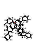 CC1(C)c2ccccc2-c2cc3c4ccccc4n(-c4cc(-c5ccccc5)cc5oc6cccc(-c7nc(-c8ccccc8)nc(-c8ccccc8)n7)c6c45)c3cc21